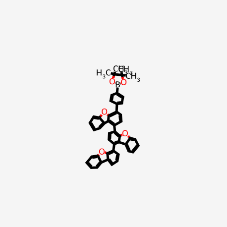 CC1(C)OB(c2ccc(-c3ccc(-c4ccc(-c5cccc6c5oc5ccccc56)c5c4oc4ccccc45)c4c3oc3ccccc34)cc2)OC1(C)C